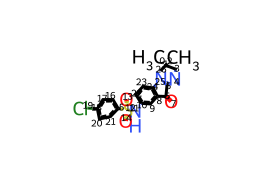 CC1(C)CN=C2C(=O)c3cc(NS(=O)(=O)c4ccc(Cl)cc4)ccc3N2C1